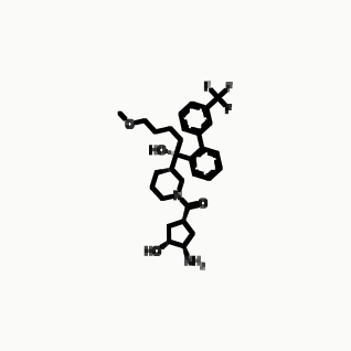 COCCCC[C@@](O)(c1ccccc1-c1cccc(C(F)(F)F)c1)[C@@H]1CCCN(C(=O)[C@H]2C[C@@H](N)[C@@H](O)C2)C1